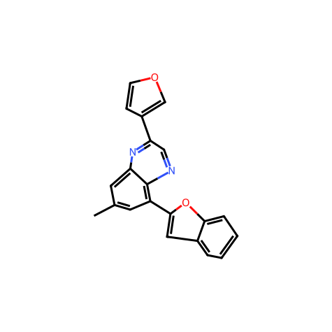 Cc1cc(-c2cc3ccccc3o2)c2ncc(-c3ccoc3)nc2c1